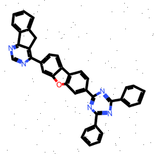 c1ccc(-c2nc(-c3ccccc3)nc(-c3ccc4c(c3)oc3cc(-c5ncnc6c5Cc5ccccc5-6)ccc34)n2)cc1